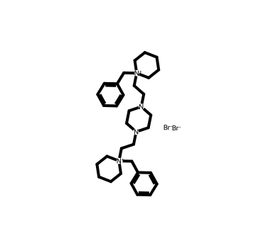 [Br-].[Br-].c1ccc(C[N+]2(CCN3CCN(CC[N+]4(Cc5ccccc5)CCCCC4)CC3)CCCCC2)cc1